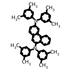 Cc1cc(C)cc(N(c2cc(C)cc(C)c2)c2ccc3cc(N(c4cc(C)cc(C)c4)c4cc(C)cc(C)c4)c4ccccc4c3c2)c1